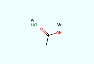 CC(=O)O.Cl.[Mn].[Pr]